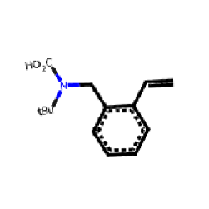 C=Cc1ccccc1CN(C(=O)O)C(C)(C)C